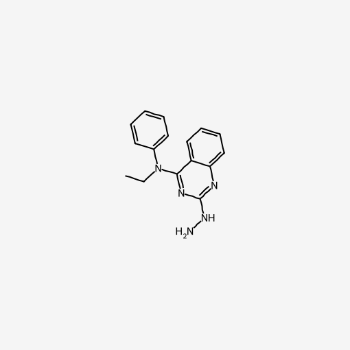 CCN(c1ccccc1)c1nc(NN)nc2ccccc12